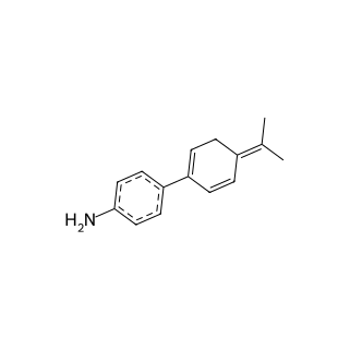 CC(C)=C1C=CC(c2ccc(N)cc2)=CC1